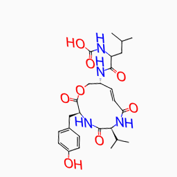 CC(C)CC(NC(=O)O)C(=O)N[C@@H]1/C=C/C(=O)N[C@@H](C(C)C)C(=O)N[C@@H](Cc2ccc(O)cc2)C(=O)OC1